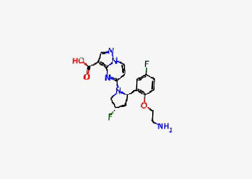 NCCOc1ccc(F)cc1[C@H]1C[C@H](F)CN1c1ccn2ncc(C(=O)O)c2n1